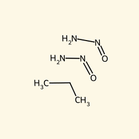 CCC.NN=O.NN=O